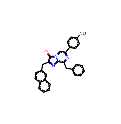 O=Nc1ccc(-c2cn3c(=O)c(Cc4ccc5ccccc5c4)nc-3c(Cc3ccccc3)[nH]2)cc1